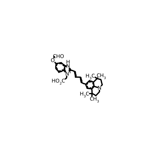 CC1(C)CCN2CCC(C)(C)c3cc(/C=C/C=C/c4[nH]c5cc(OC=O)ccc5[n+]4CC(=O)O)cc1c32